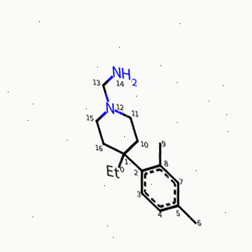 CCC1(c2ccc(C)cc2C)CCN(CN)CC1